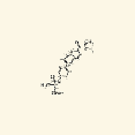 C=C(C)C(=O)c1ccc2cc(-c3ccc(OC(=O)C(=C)COC)cc3)ccc2c1